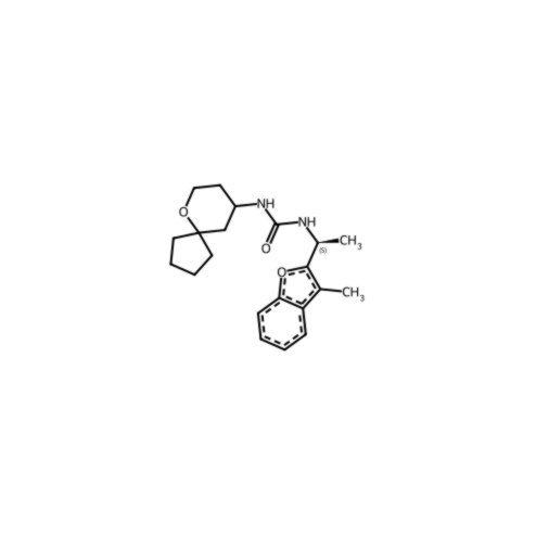 Cc1c([C@H](C)NC(=O)NC2CCOC3(CCCC3)C2)oc2ccccc12